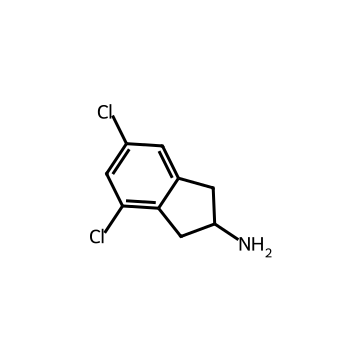 NC1Cc2cc(Cl)cc(Cl)c2C1